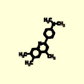 Cc1cc2nc(-c3ccc(N(C)C)cc3)cc(C)c2cc1C